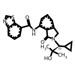 CC(C)(O)[C@H](C1CC1)N1Cc2cccc(NC(=O)c3cccc4ncsc34)c2C1=O